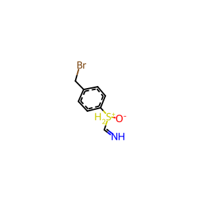 N=C[SH2+]([O-])c1ccc(CBr)cc1